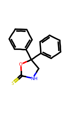 S=C1NCC(c2ccccc2)(c2ccccc2)O1